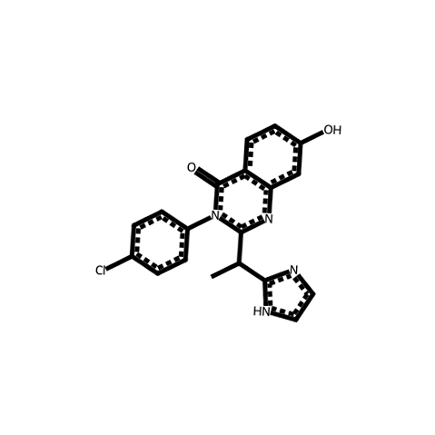 CC(c1ncc[nH]1)c1nc2cc(O)ccc2c(=O)n1-c1ccc(Cl)cc1